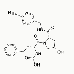 N#Cc1ccc(CNC(=O)[C@@H]2C[C@H](O)CN2C(=O)[C@@H](CCc2ccccc2)NC(=O)O)cn1